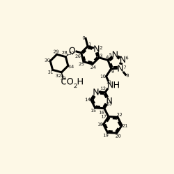 Cc1nc(-c2nnn(C)c2CNc2nccc(-c3ccccc3)n2)ccc1O[C@H]1CCC[C@H](C(=O)O)C1